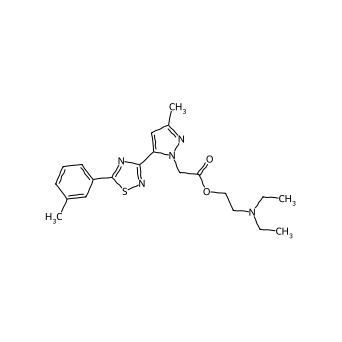 CCN(CC)CCOC(=O)Cn1nc(C)cc1-c1nsc(-c2cccc(C)c2)n1